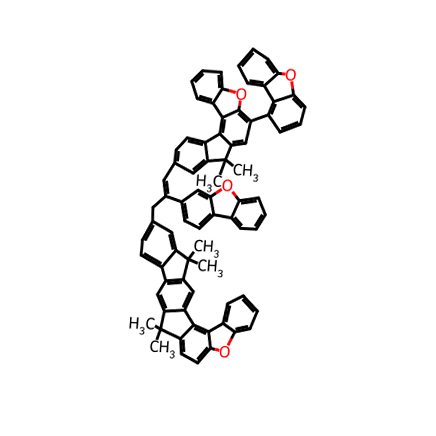 CC1(C)c2cc(C/C(=C/c3ccc4c(c3)C(C)(C)c3cc(-c5cccc6oc7ccccc7c56)c5oc6ccccc6c5c3-4)c3ccc4c(c3)oc3ccccc34)ccc2-c2cc3c(cc21)-c1c(ccc2oc4ccccc4c12)C3(C)C